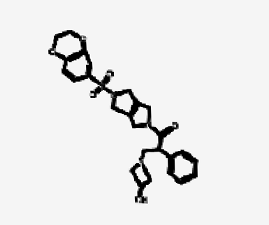 O=C(C(CN1CC(O)C1)c1ccccc1)N1CC2=C(C1)CN(S(=O)(=O)c1ccc3c(c1)OCCO3)C2